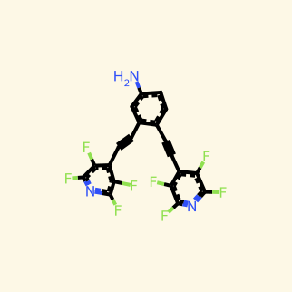 Nc1ccc(C#Cc2c(F)c(F)nc(F)c2F)c(C#Cc2c(F)c(F)nc(F)c2F)c1